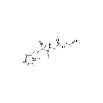 C=CCOC(=O)CNC(=O)C(N)C1Cc2ccccc2C1